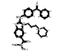 CCCCN(CCCC)C(=O)c1ccc2nc(Nc3ccc(C(=O)c4ccccc4)cc3)n(CCCN3CCCCC3)c2c1